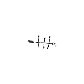 [C]#CC(F)(F)C(F)(F)C(F)(F)C(F)(F)F